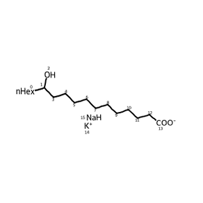 CCCCCCC(O)CCCCCCCCCCC(=O)[O-].[K+].[NaH]